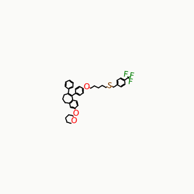 FC(F)(F)c1ccc(CSCCCCCOc2ccc(C3=C(c4ccccc4)CCCc4cc(OC5CCCCO5)ccc43)cc2)cc1